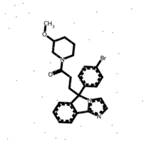 COC1CCCN(C(=O)CCC2(c3ccc(Br)cc3)c3ccccc3-c3nccn32)C1